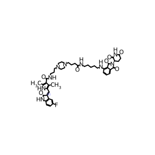 Cc1[nH]c(/C=C2\C(=O)Nc3ccc(F)cc32)c(C)c1C(=O)NCCCN1CCN(CCCC(=O)NCCCCCNc2cccc3c2C(=O)N(C2CCC(=O)NC2=O)C3=O)CC1